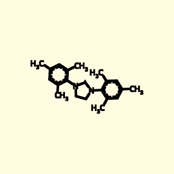 Cc1cc(C)c(N2[CH]N(c3c(C)cc(C)cc3C)CC2)c(C)c1